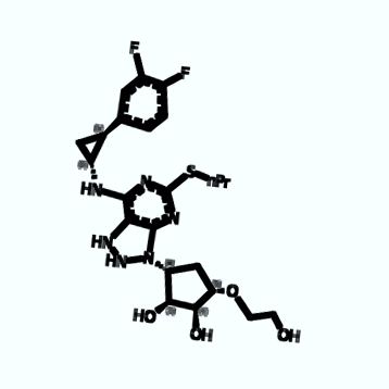 CCCSc1nc(N[C@@H]2C[C@H]2c2ccc(F)c(F)c2)c2c(n1)N([C@@H]1C[C@H](OCCO)[C@@H](O)[C@H]1O)NN2